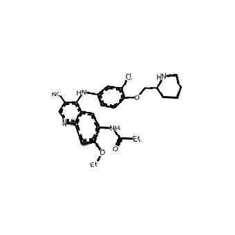 CCOc1cc2ncc(C#N)c(Nc3ccc(OCC4CCCCN4)c(Cl)c3)c2cc1NC(=O)CC